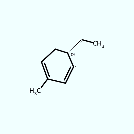 CC[C@@H]1[C]=CC(C)=CC1